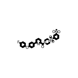 CS(=O)(=O)c1cccc(S(=O)(=O)N2CCN(C(=O)c3cccc(-c4ccc(Oc5ccc(F)cc5)cc4)n3)CC2)c1